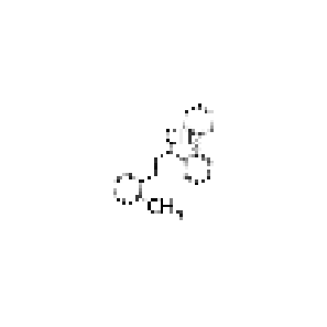 Cc1ccccc1CCC(C)c1ccccc1-c1ccccc1